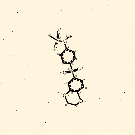 CC(C)N(c1ccc(S(=O)(=O)c2ccc3c(c2)OCCO3)cc1)S(C)(=O)=O